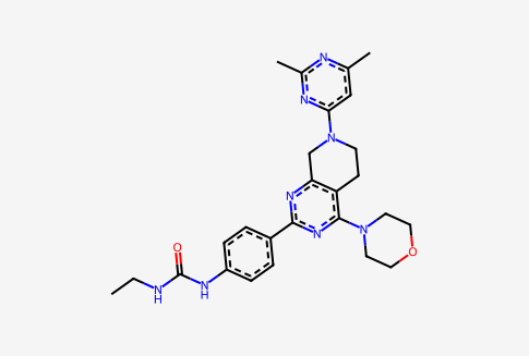 CCNC(=O)Nc1ccc(-c2nc3c(c(N4CCOCC4)n2)CCN(c2cc(C)nc(C)n2)C3)cc1